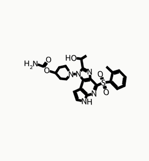 Cc1ccccc1S(=O)(=O)c1nc2[nH]ccc2c2c1nc(C(C)O)n2N1CCC(OC(N)=O)CC1